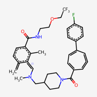 C=c1ccc(C(=O)NCCOCC(F)(F)F)c(C)/c1=C/N(C)CC1CCN(C(=O)C2=CC=C(c3ccc(F)cc3)C=C=C2)CC1